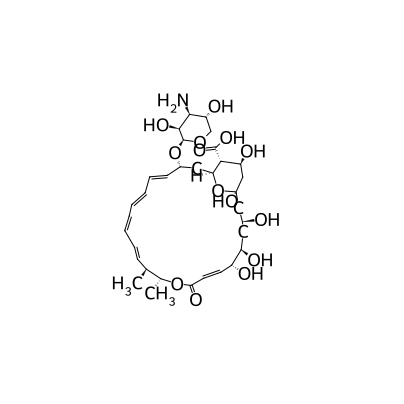 C[C@H]1/C=C/C=C/C=C/C=C/[C@H](O[C@@H]2OC[C@@H](O)[C@H](N)[C@@H]2O)C[C@@H]2O[C@](O)(C[C@@H](O)C[C@@H](O)[C@H](O)/C=C/C(=O)O[C@@H]1C)C[C@H](O)[C@H]2C(=O)O